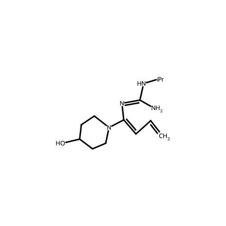 C=C/C=C(\N=C(/N)NC(C)C)N1CCC(O)CC1